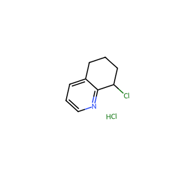 Cl.ClC1CCCc2cccnc21